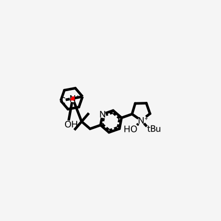 CC(C)(Cc1ccc(C2CCC[N+]2(O)C(C)(C)C)cn1)[N+]1(O)CC2CCC(CC2)C1